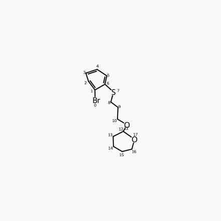 Brc1ccccc1SCCCOC1CCCCO1